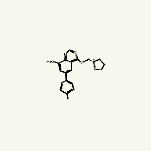 COc1cc(-c2ccc(F)cc2)cc2c(NC[C@H]3CCCO3)ncnc12